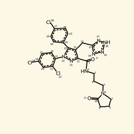 O=C(NCCCN1CCCC1=O)c1nn(-c2ccc(Cl)cc2Cl)c(-c2ccc(Cl)cc2)c1Cc1nn[nH]n1